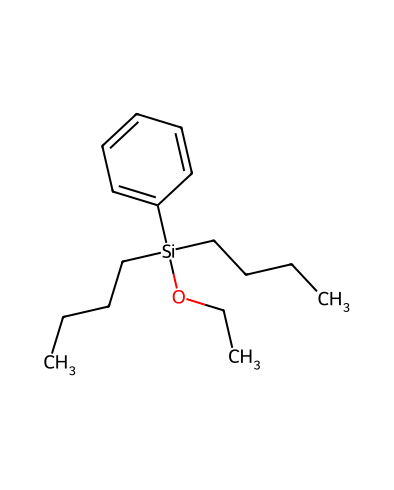 CCCC[Si](CCCC)(OCC)c1ccccc1